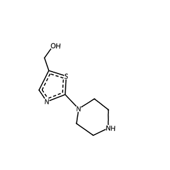 OCc1cnc(N2CCNCC2)s1